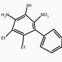 CCc1c(N)c(S)c([N+](=O)[O-])c(-c2ccccc2)c1CC